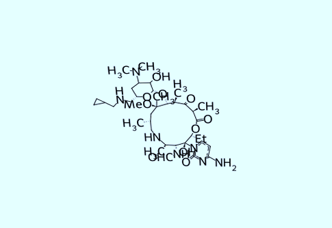 CC[C@H]1OC(=O)[C@H](C)C(=O)[C@H](C)[C@@H](O[C@@H]2O[C@H](CNCC3CC3)CC(N(C)C)C2O)[C@](C)(OC)C[C@@H](C)CN[C@H](C)[C@@H](NC=O)[C@@]1(O)n1ccc(N)nc1=O